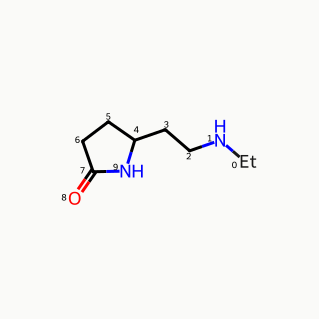 CCNCCC1CCC(=O)N1